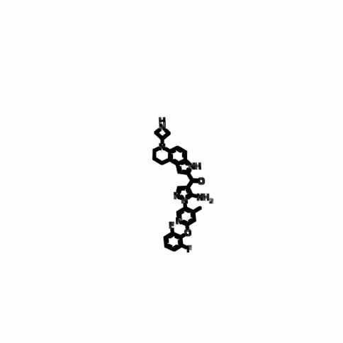 Cc1cc(Oc2c(F)cccc2F)ncc1-n1ncc(C(=O)c2cc3c4c(ccc3[nH]2)N(C2CNC2)CCC4)c1N